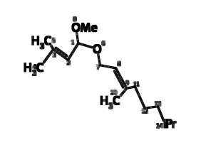 COC(C=C(C)C)OC/C=C(\C)CCCC(C)C